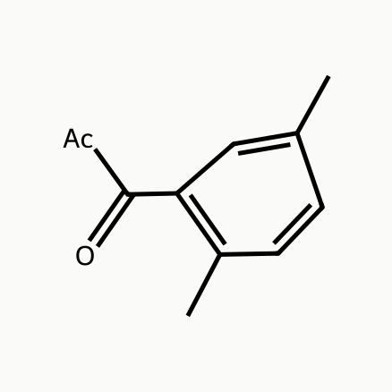 CC(=O)C(=O)c1cc(C)ccc1C